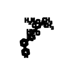 CN(C)CCC(OC(N)=O)C(=O)Nc1nc(-c2cccc(-c3ccncc3)c2)cs1